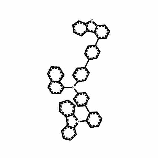 c1ccc(-n2c3ccccc3c3ccccc32)c(-c2ccc(N(c3ccc(-c4ccc(-c5cccc6oc7ccccc7c56)cc4)cc3)c3cccc4ccccc34)cc2)c1